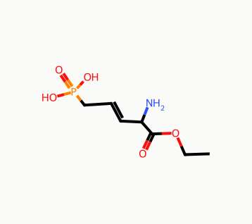 CCOC(=O)C(N)/C=C/CP(=O)(O)O